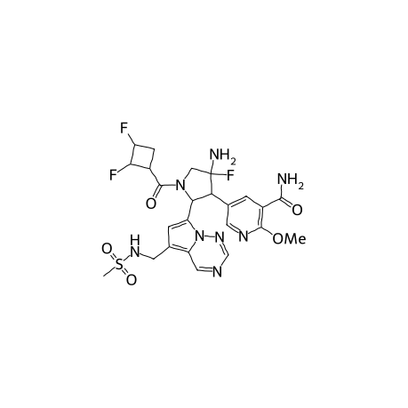 COc1ncc(C2C(c3cc(CNS(C)(=O)=O)c4cncnn34)N(C(=O)C3CC(F)C3F)CC2(N)F)cc1C(N)=O